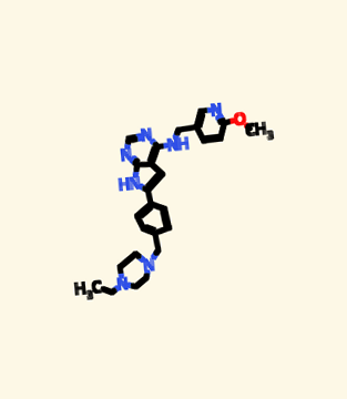 CCN1CCN(Cc2ccc(-c3cc4c(NCc5ccc(OC)nc5)ncnc4[nH]3)cc2)CC1